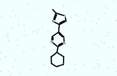 Cc1nc(-c2cnc(C3CCCCC3)nc2)cs1